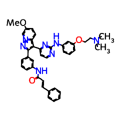 COc1ccc2c(-c3ccnc(Nc4cccc(OCCN(C)C)c4)n3)c(-c3cccc(NC(=O)/C=C/c4ccccc4)c3)nn2c1